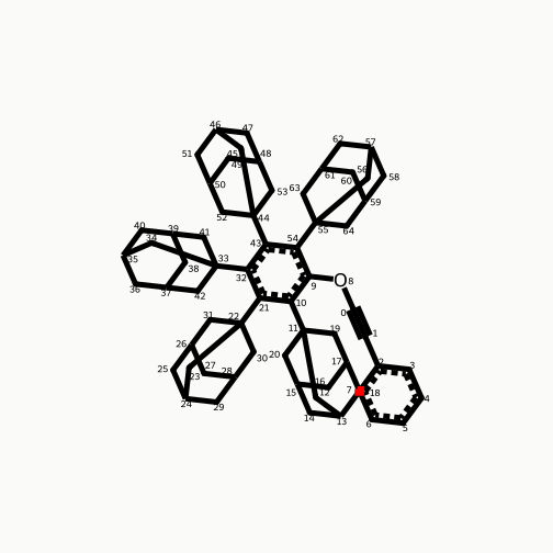 C(#Cc1ccccc1)Oc1c(C23CC4CC(CC(C4)C2)C3)c(C23CC4CC(CC(C4)C2)C3)c(C23CC4CC(CC(C4)C2)C3)c(C23CC4CC(CC(C4)C2)C3)c1C12CC3CC(CC(C3)C1)C2